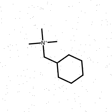 C[N+](C)(C)CC1CCCCC1